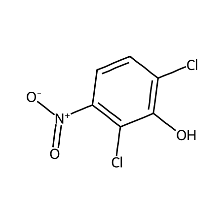 O=[N+]([O-])c1ccc(Cl)c(O)c1Cl